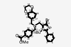 CCCCn1c(-c2ccccc2)nc(Br)c1CN(Cc1ccc(C(=O)OC)cc1)Cc1ccc2c(c1)OCCO2